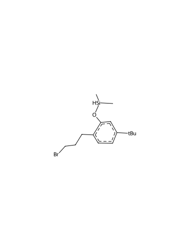 C[SiH](C)Oc1cc(C(C)(C)C)ccc1CCCBr